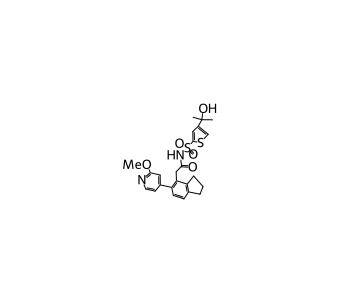 COc1cc(-c2ccc3c(c2CC(=O)NS(=O)(=O)c2cc(C(C)(C)O)cs2)CCC3)ccn1